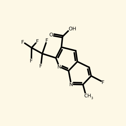 Cc1nc2nc(C(F)(F)C(F)(F)F)c(C(=O)O)cc2cc1F